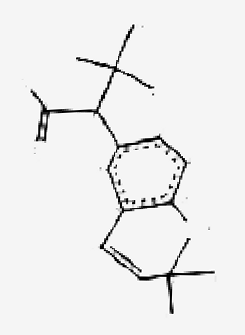 CC1(C)C=Cc2cc(C(C(=O)O)C(C)(C)C)ccc2O1